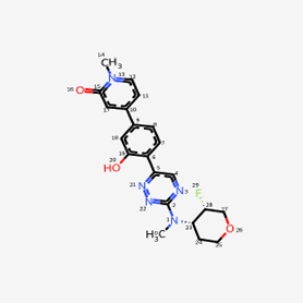 CN(c1ncc(-c2ccc(-c3ccn(C)c(=O)c3)cc2O)nn1)[C@H]1CCOC[C@H]1F